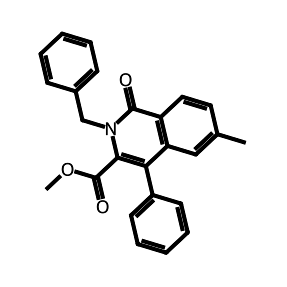 COC(=O)c1c(-c2ccccc2)c2cc(C)ccc2c(=O)n1Cc1ccccc1